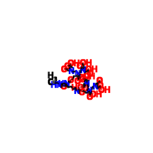 CCCCNCOC(CCCCN=COCCC(C(=O)O)N(CCN(CC=O)CC(=O)O)CCN(CC(=O)O)CC(=O)O)NCOCCC(C(=O)O)N(CCN(CC=O)CC(=O)O)CCN(CC(=O)O)CC(=O)O